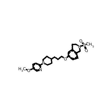 COc1ccc(N2CCC(CCCOc3ccc4c(c3)CCN(S(C)(=O)=O)C4)CC2)nc1